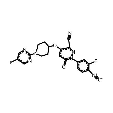 [C-]#[N+]c1ccc(-n2nc(C#N)c(OC3CCN(c4ncc(I)cn4)CC3)cc2=O)cc1F